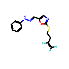 FC(F)=C(F)CCSc1ncc(C=NNc2ccccc2)o1